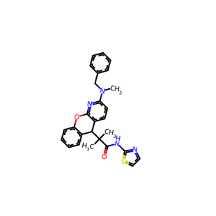 CN(Cc1ccccc1)c1ccc2c(n1)Oc1ccccc1C2C(C)(C)C(=O)Nc1nccs1